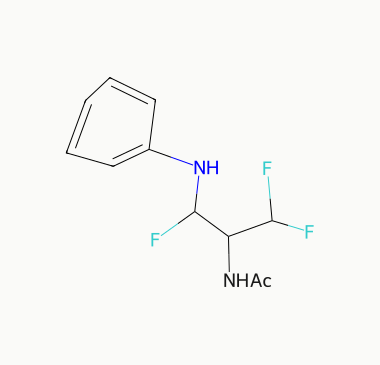 CC(=O)NC(C(F)F)C(F)Nc1ccccc1